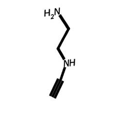 C#CNCCN